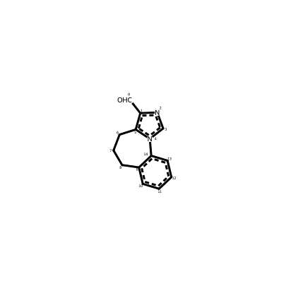 O=Cc1ncn2c1CCCc1ccccc1-2